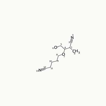 CC(C#N)C(C[O])OCCCCC#N